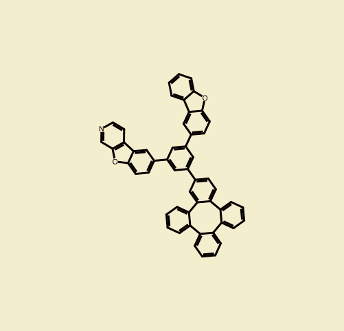 c1ccc2c(c1)-c1ccccc1-c1ccc(-c3cc(-c4ccc5oc6ccccc6c5c4)cc(-c4ccc5oc6cnccc6c5c4)c3)cc1-c1ccccc1-2